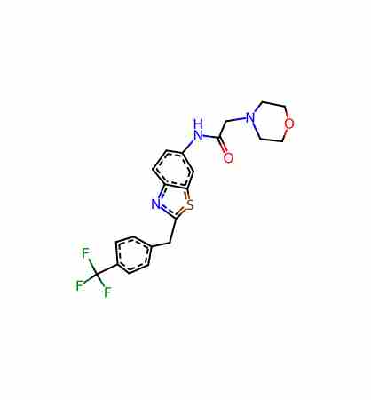 O=C(CN1CCOCC1)Nc1ccc2nc(Cc3ccc(C(F)(F)F)cc3)sc2c1